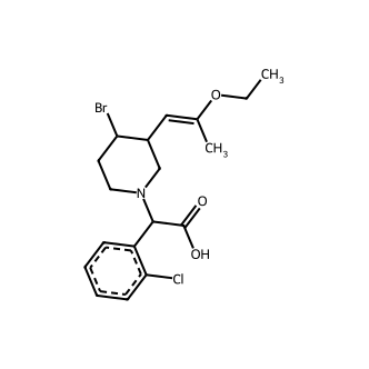 CCO/C(C)=C/C1CN(C(C(=O)O)c2ccccc2Cl)CCC1Br